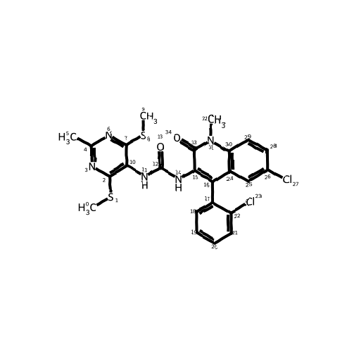 CSc1nc(C)nc(SC)c1NC(=O)Nc1c(-c2ccccc2Cl)c2cc(Cl)ccc2n(C)c1=O